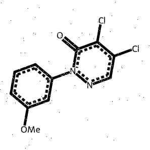 COc1cccc(-n2ncc(Cl)c(Cl)c2=O)c1